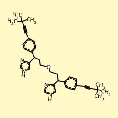 CC(C)(C)C#Cc1ccc(C(CCOCCC(c2ccc(C#CC(C)(C)C)cc2)c2c[nH]cn2)c2c[nH]cn2)cc1